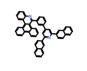 c1cc(-c2cc(-c3ccc4ccccc4c3)nc(-c3ccc4ccccc4c3)c2)cc(-c2nc3ccccc3c3c4ccccc4c4ccccc4c23)c1